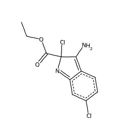 CCOC(=O)C1(Cl)N=c2cc(Cl)ccc2=C1N